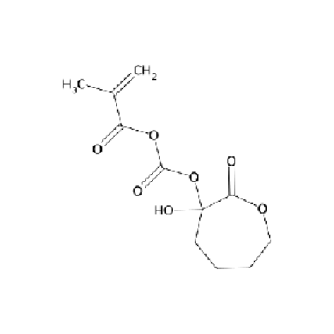 C=C(C)C(=O)OC(=O)OC1(O)CCCCOC1=O